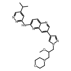 COC(CN1CCOCC1)Cn1cc(-c2cnc3ccc(Nc4cc(C(C)C)cnn4)nc3c2)cn1